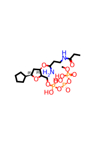 CCC(=O)NCCC(N)O[C@@H]1C[C@H](C2CCCC2)OC1COP(=O)(O)OP(=O)(O)OP(=O)(O)OC